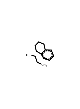 CCCC.c1ccc2c(c1)CCCC2